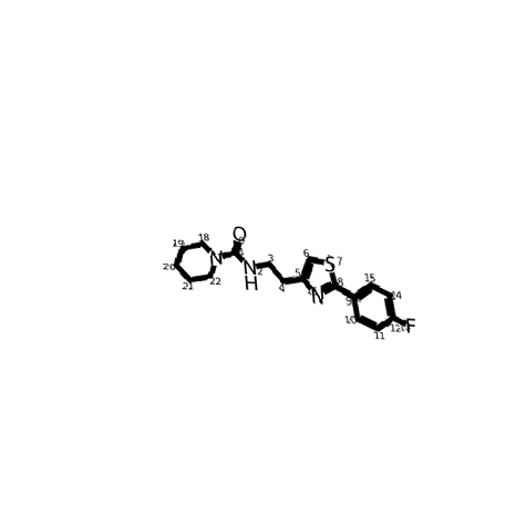 O=C(NCCc1csc(-c2ccc(F)cc2)n1)N1CCCCC1